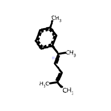 CC(C)=C/C=C(\C)c1cccc(C)c1